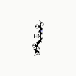 COC(=O)/C=C/CNCC#CC(=O)OC(C)(C)C